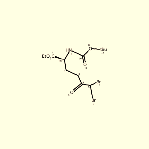 CCOC(=O)[C@H](CCC(=O)C(Br)Br)NC(=O)OC(C)(C)C